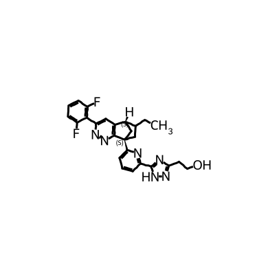 CCC1C[C@@]2(c3cccc(-c4nc(CCO)n[nH]4)n3)C[C@@H]1c1cc(-c3c(F)cccc3F)nnc12